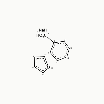 O=C(O)c1ccccc1.[NaH].c1ccoc1